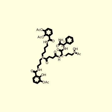 CC(=O)Oc1cccc(C(=O)NCCCN(CCCCNC(=O)c2cccc(OC(C)=O)c2OC(C)=O)C(=O)CCC(=O)N[C@@H](CCCN(O)C(C)=O)C(=O)N[C@@H](C(N)=O)c2ccccc2)c1O